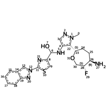 Cn1ncc(NC(O)c2csc(-n3cc4ccccc4n3)n2)c1[C@@H]1CC[C@@H](N)[C@H](F)CO1